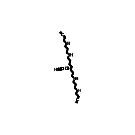 C=C=CCNCCCNCCCCCCCNCCCNCC=C=C.Cl.Cl.Cl.Cl